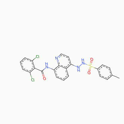 Cc1ccc(S(=O)(=O)NNc2ccnc3c(NC(=O)c4c(Cl)cccc4Cl)cccc23)cc1